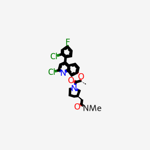 CNC(=O)C[C@H]1CCCN(C(=O)[C@@H](C)Oc2ccc3c(-c4ccc(F)cc4Cl)cc(Cl)nc3c2)C1